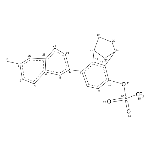 Cc1ccc2cc(-c3ccc(OS(=O)(=O)C(F)(F)F)c4c3C3CCC4C3)ccc2c1